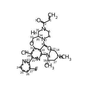 C=CC(=O)N1CCN2C(=O)c3c(N4CCN(C)C[C@@H]4C)nc(-c4ncccc4F)c(Cl)c3OC[C@H]2C1